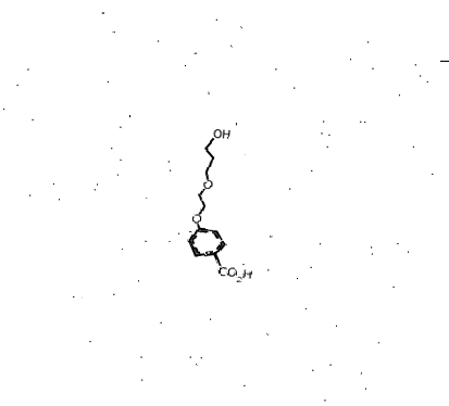 O=C(O)c1ccc(OCCOCCCO)cc1